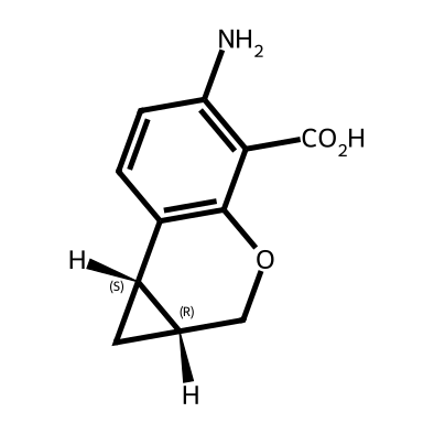 Nc1ccc2c(c1C(=O)O)OC[C@@H]1C[C@H]21